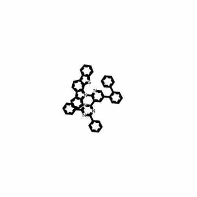 c1ccc(-c2nc(-c3ccccc3)nc(-c3cc(-c4ccccc4-c4ccccc4)cnc3-n3c4ccccc4c4ccc5c6ccccc6sc5c43)n2)cc1